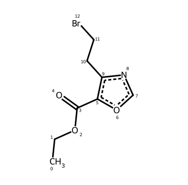 CCOC(=O)c1ocnc1CCBr